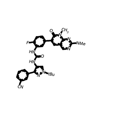 CNc1ncc2cc(-c3ccc(F)c(NC(=O)Nc4cn(C(C)(C)C)nc4-c4cccc(C#N)c4)c3)c(=O)n(C)c2n1